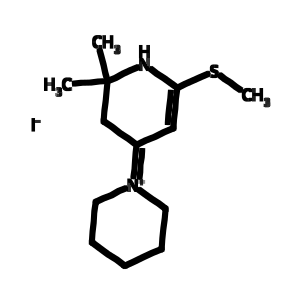 CSC1=CC(=[N+]2CCCCC2)CC(C)(C)N1.[I-]